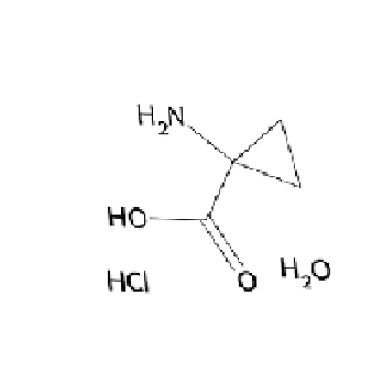 Cl.NC1(C(=O)O)CC1.O